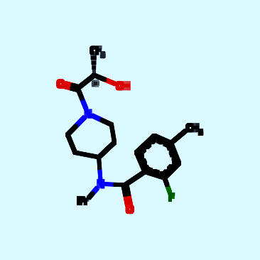 Cc1ccc(C(=O)N(C(C)C)C2CCN(C(=O)[C@@H](O)C(F)(F)F)CC2)c(F)c1